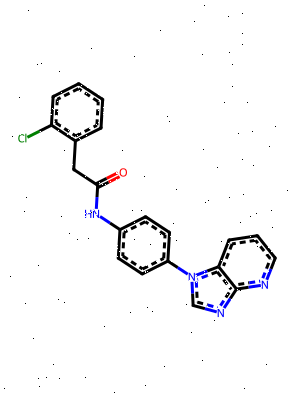 O=C(Cc1ccccc1Cl)Nc1ccc(-n2cnc3ncccc32)cc1